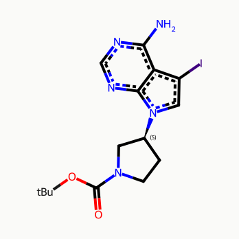 CC(C)(C)OC(=O)N1CC[C@H](n2cc(I)c3c(N)ncnc32)C1